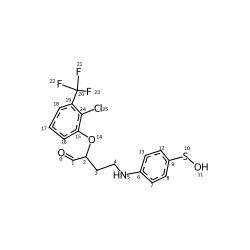 O=CC(CCNc1ccc(SO)cc1)Oc1cccc(C(F)(F)F)c1Cl